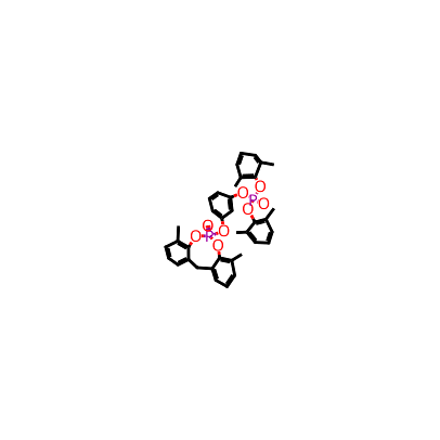 Cc1cccc(C)c1OP(=O)(Oc1cccc(OP2(=O)Oc3c(C)cccc3Cc3cccc(C)c3O2)c1)Oc1c(C)cccc1C